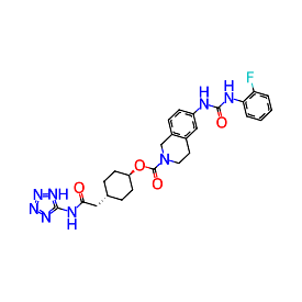 O=C(C[C@H]1CC[C@H](OC(=O)N2CCc3cc(NC(=O)Nc4ccccc4F)ccc3C2)CC1)Nc1nnn[nH]1